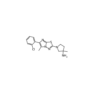 Cc1c(-c2ccccc2Cl)nc2sc(N3CCC(C)(N)C3)nn12